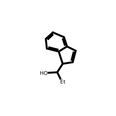 [CH2]CC(O)C1C=Cc2ccccc21